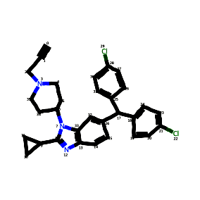 C#CCN1CCC(n2c(C3CC3)nc3ccc(C(c4ccc(Cl)cc4)c4ccc(Cl)cc4)cc32)CC1